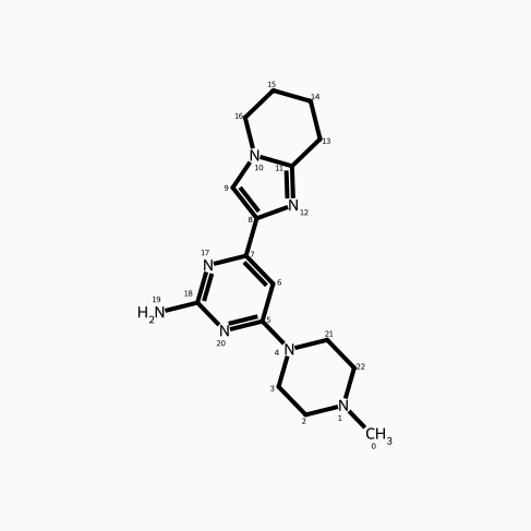 CN1CCN(c2cc(-c3cn4c(n3)CCCC4)nc(N)n2)CC1